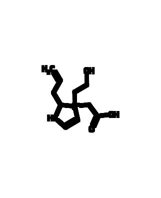 C=CCC1NC=C[N+]1(CCO)CC(=O)O